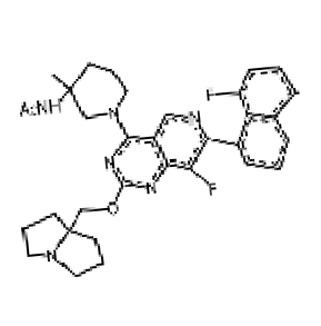 CC(=O)NC1(C)CCCN(c2nc(OCC34CCCN3CCC4)nc3c(F)c(-c4cccc5cccc(F)c45)ncc23)C1